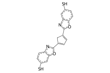 Sc1ccc2oc(C3=CC=C(c4nc5ccc(S)cc5o4)C3)nc2c1